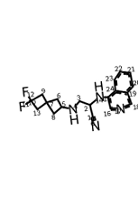 N#CC(CNC1CC2(C1)CC(F)(F)C2)Nc1cncc2ccccc12